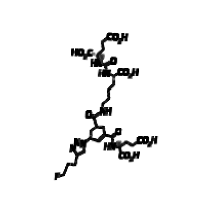 O=C(O)CC[C@H](NC(=O)NC(CCCCNC(=O)c1cc(C(=O)N[C@@H](CCC(=O)O)C(=O)O)cc(-n2cc(CCCF)nn2)c1)C(=O)O)C(=O)O